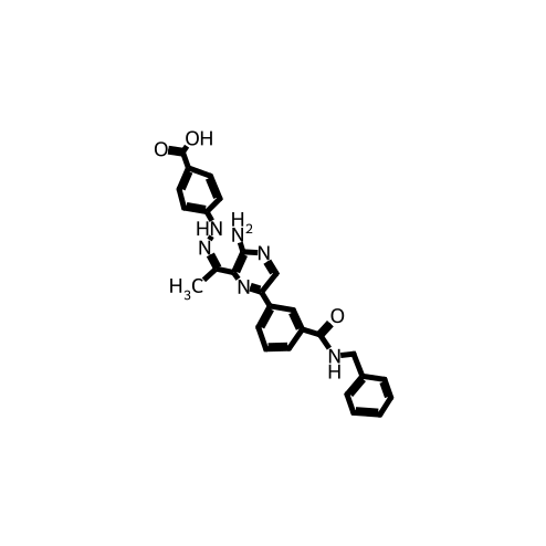 CC(=NNc1ccc(C(=O)O)cc1)c1nc(-c2cccc(C(=O)NCc3ccccc3)c2)cnc1N